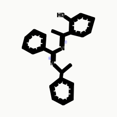 C/C(=N\C(=N/C(C)c1ccccc1)c1ccccc1)c1ccccc1O